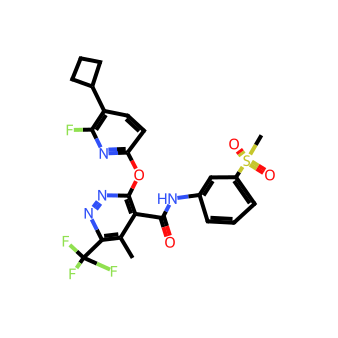 Cc1c(C(F)(F)F)nnc(Oc2ccc(C3CCC3)c(F)n2)c1C(=O)Nc1cccc(S(C)(=O)=O)c1